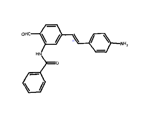 Nc1ccc(/C=C/c2ccc(C=O)c(NC(=O)c3ccccc3)c2)cc1